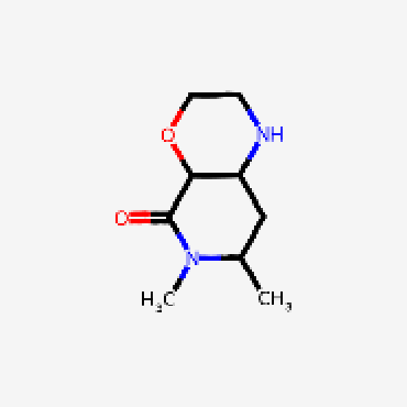 CC1CC2NCCOC2C(=O)N1C